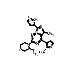 Cc1nc(-c2ccn[nH]2)n2nc(N3CCOCC3C)nc(-c3ccnn3C)c12